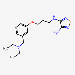 CCN(CC)Cc1cccc(OCCCNc2nsnc2N)c1